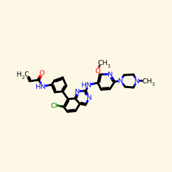 C=CC(=O)Nc1cccc(-c2c(Cl)ccc3cnc(Nc4ccc(N5CCN(C)CC5)nc4OC)nc23)c1